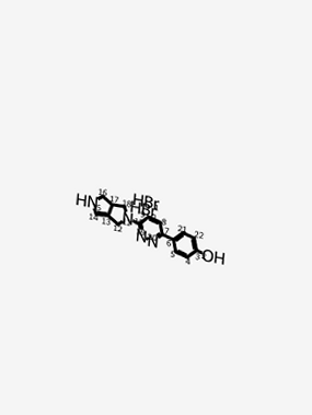 Br.Br.Oc1ccc(-c2ccc(N3CC4=CNCC4C3)nn2)cc1